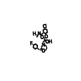 NC(=O)c1cc(Cl)ccc1OC[C@@H](O)CN1CCCO[C@H](Cc2ccc(F)cc2)C1